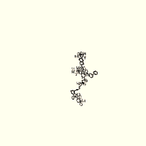 CC(C)(C)C(NC(=O)c1cc2cc(C(F)(F)P(=O)(O)O)ccc2s1)C(=O)N1CCN(C(=O)CC(=O)NCCCC#Cc2cccc3c2C(=O)N(C2CCC(=O)NC2=O)C3=O)C[C@H]1C(=O)N1CCC[C@H](c2ccccc2)C1